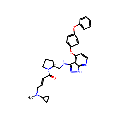 CN(CC=CC(=O)N1CCC[C@H]1CNc1n[nH]c2nccc(Oc3ccc(Oc4ccccc4)cc3)c12)C1CC1